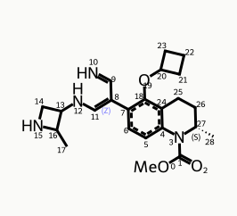 COC(=O)N1c2ccc(/C(C=N)=C/NC3CNC3C)c(OC3CCC3)c2CC[C@@H]1C